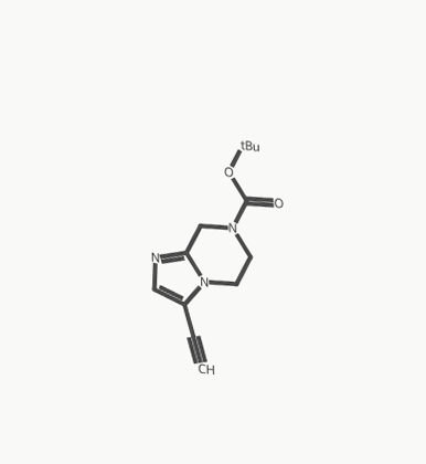 C#Cc1cnc2n1CCN(C(=O)OC(C)(C)C)C2